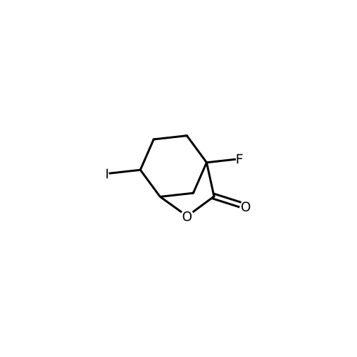 O=C1OC2CC1(F)CCC2I